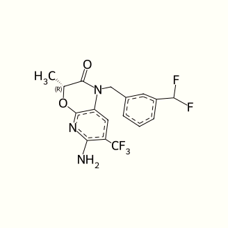 C[C@H]1Oc2nc(N)c(C(F)(F)F)cc2N(Cc2cccc(C(F)F)c2)C1=O